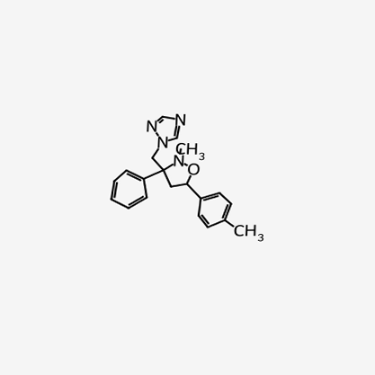 Cc1ccc(C2CC(Cn3cncn3)(c3ccccc3)N(C)O2)cc1